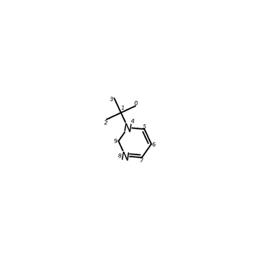 CC(C)(C)N1C=CC=NC1